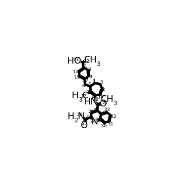 CC1=CCCC(Cc2ccc(C(C)O)cc2)C(C)=C1NC(=O)c1cc(C(N)=O)nc2ccccc12